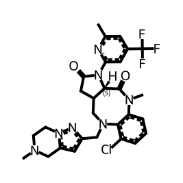 Cc1cc(C(F)(F)F)cc(N2C(=O)CC3CN(Cc4cc5n(n4)CCN(C)C5)c4c(Cl)cccc4N(C)C(=O)[C@H]32)n1